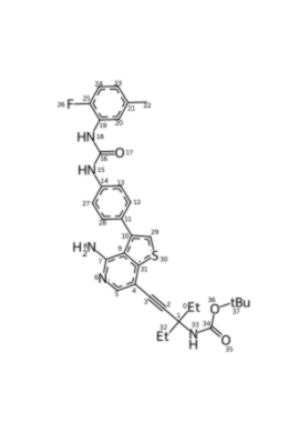 CCC(C#Cc1cnc(N)c2c(-c3ccc(NC(=O)Nc4cc(C)ccc4F)cc3)csc12)(CC)NC(=O)OC(C)(C)C